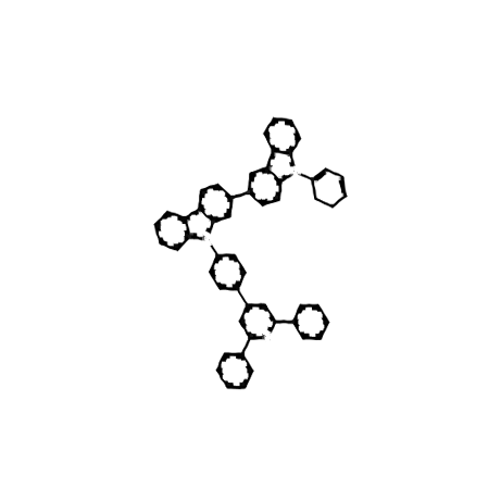 C1=CCCC(n2c3ccccc3c3cc(-c4ccc5c6ccccc6n(-c6ccc(-c7cc(-c8ccccc8)nc(-c8ccccc8)c7)cc6)c5c4)ccc32)=C1